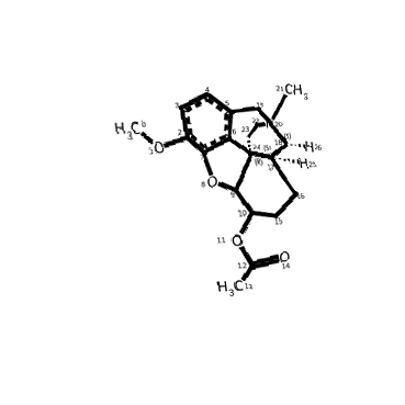 COc1ccc2c3c1OC1C(OC(C)=O)CC[C@@H]4[C@H](C2)N(C)CC[C@@]314